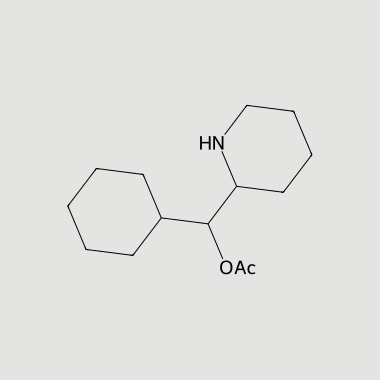 CC(=O)OC(C1CCCCC1)C1CCCCN1